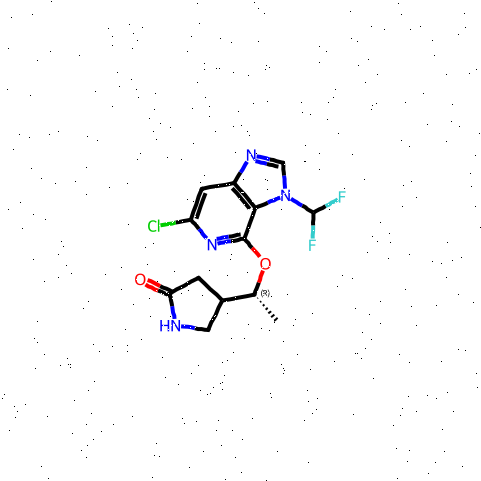 C[C@@H](Oc1nc(Cl)cc2ncn(C(F)F)c12)C1CNC(=O)C1